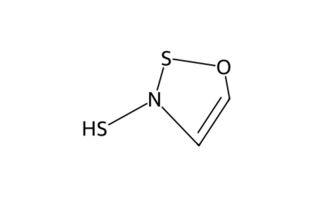 SN1C=COS1